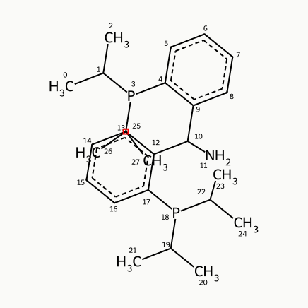 CC(C)P(c1ccccc1C(N)c1ccccc1P(C(C)C)C(C)C)C(C)C